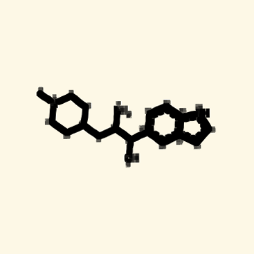 CN1CCC(CC(N)C(O)c2ccc3[nH]ccc3c2)CC1